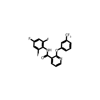 O=C(Nc1c(F)cc(F)cc1F)c1cccnc1Oc1cccc(C(F)(F)F)c1